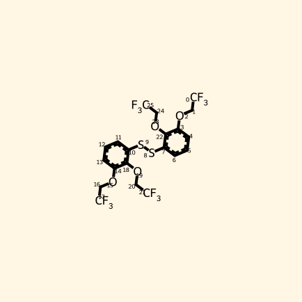 FC(F)(F)COc1cccc(SSc2cccc(OCC(F)(F)F)c2OCC(F)(F)F)c1OCC(F)(F)F